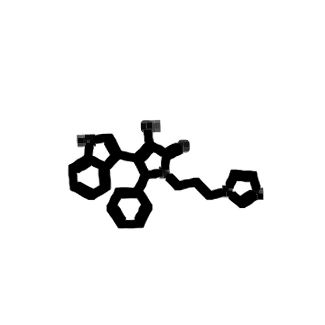 O=C1C(O)=C(c2c[nH]c3ccccc23)C(c2ccccc2)N1CCCn1ccnc1